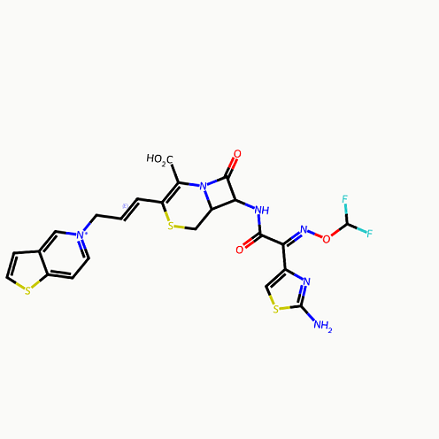 Nc1nc(C(=NOC(F)F)C(=O)NC2C(=O)N3C(C(=O)O)=C(/C=C/C[n+]4ccc5sccc5c4)SCC23)cs1